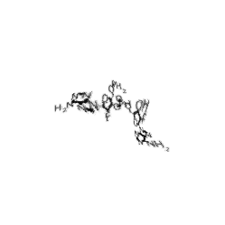 Nc1ncnc2c1ncn2[C@@H]1O[C@H](CO[PH](=O)O[C@H]2[C@@H](F)[C@H](n3cnc4c(N)ncnc43)O[C@@H]2COP)[C@@H](O)[C@H]1F